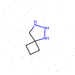 C1CC2(C1)CNNN2